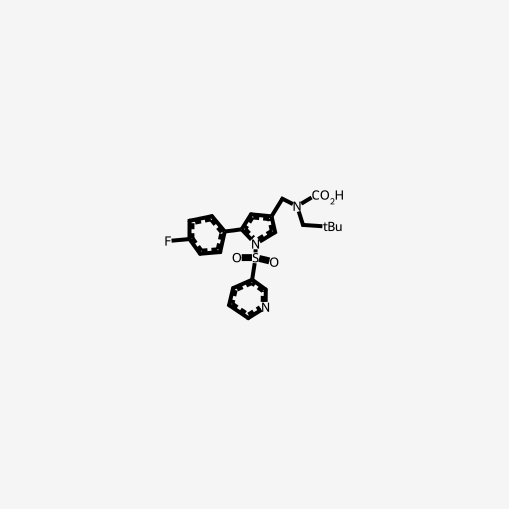 CC(C)(C)CN(Cc1cc(-c2ccc(F)cc2)n(S(=O)(=O)c2cccnc2)c1)C(=O)O